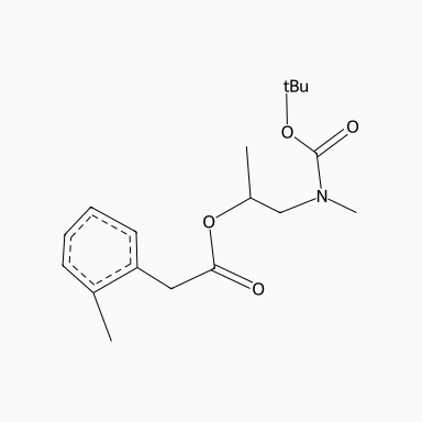 Cc1ccccc1CC(=O)OC(C)CN(C)C(=O)OC(C)(C)C